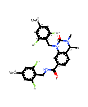 COc1cc(F)c(CNC(=O)c2ccc3c(c2)N(Cc2c(F)cc(OC)cc2F)C(=O)N(C)[C@H]3C)c(F)c1